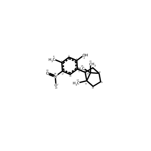 Cc1cc(O)c(C2CC3CCC2(C)C3(C)C)cc1[N+](=O)[O-]